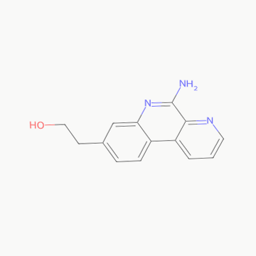 Nc1nc2cc(CCO)ccc2c2cccnc12